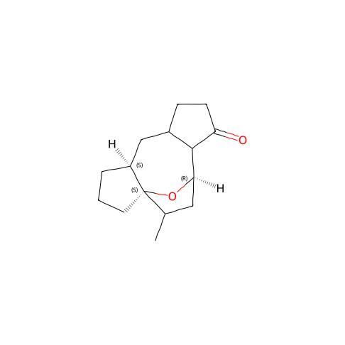 CC1C[C@H]2O[C@@]13CCC[C@H]3CC1CCC(=O)C12